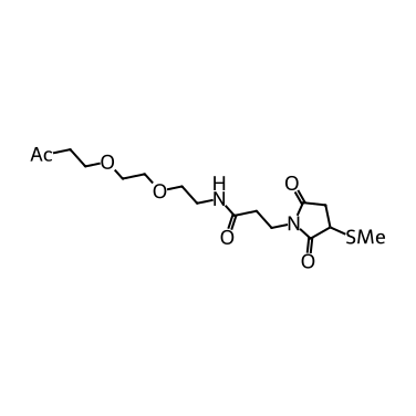 CSC1CC(=O)N(CCC(=O)NCCOCCOCCC(C)=O)C1=O